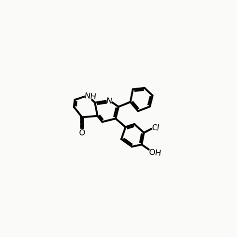 O=c1cc[nH]c2nc(-c3ccccc3)c(-c3ccc(O)c(Cl)c3)cc12